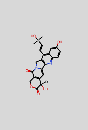 CC[C@@]1(O)C(=O)OCc2c1cc1n(c2=O)Cc2c-1nc1ccc(O)cc1c2/C=C/[Si](C)(C)O